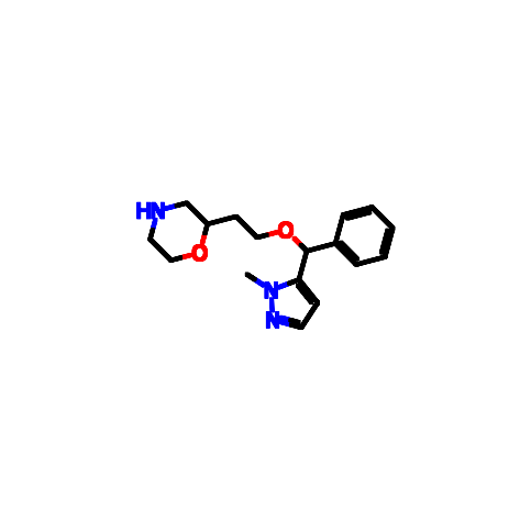 Cn1nccc1C(OCCC1CNCCO1)c1ccccc1